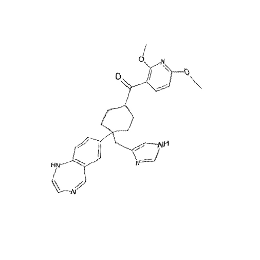 COc1ccc(C(=O)C2CCC(Cc3c[nH]cn3)(c3ccc4c(c3)C=NC=CN4)CC2)c(OC)n1